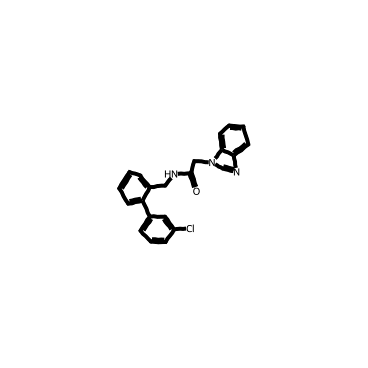 O=C(Cn1cnc2ccccc21)NCc1ccccc1-c1cccc(Cl)c1